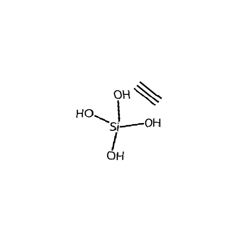 C#C.O[Si](O)(O)O